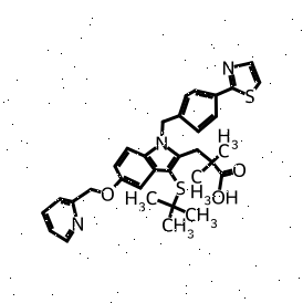 CC(C)(C)Sc1c(CC(C)(C)C(=O)O)n(Cc2ccc(-c3nccs3)cc2)c2ccc(OCc3ccccn3)cc12